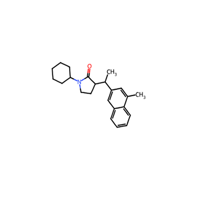 Cc1cc(C(C)C2CCN(C3CCCCC3)C2=O)cc2ccccc12